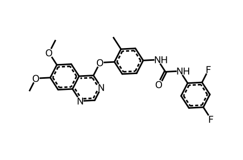 COc1cc2ncnc(Oc3ccc(NC(=O)Nc4ccc(F)cc4F)cc3C)c2cc1OC